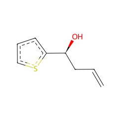 C=CC[C@H](O)c1cccs1